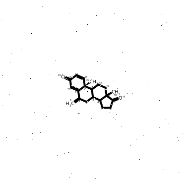 C=C1CC2C3CCC(=O)C3(C)CCC2[C@@]2(C)C=CC(=O)C=C12